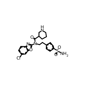 NS(=O)(=O)c1ccc(CCN(C(=O)C2CCCNC2)c2nc3ccc(Cl)cc3o2)cc1